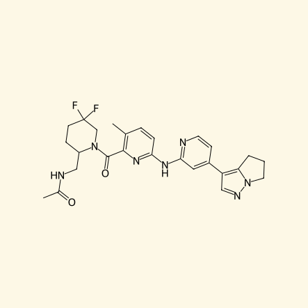 CC(=O)NCC1CCC(F)(F)CN1C(=O)c1nc(Nc2cc(-c3cnn4c3CCC4)ccn2)ccc1C